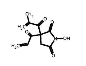 C=CC(=O)C1(C(=O)C(=C)C)CC(=O)N(O)C1=O